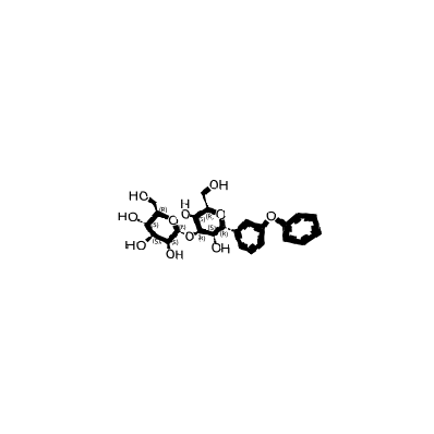 OC[C@H]1O[C@H](c2cccc(Oc3ccccc3)c2)[C@H](O)[C@@H](O[C@H]2O[C@H](CO)[C@@H](O)[C@H](O)[C@@H]2O)[C@H]1O